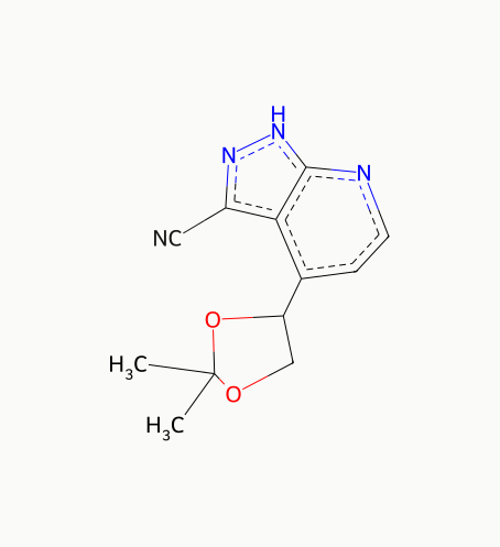 CC1(C)OCC(c2ccnc3[nH]nc(C#N)c23)O1